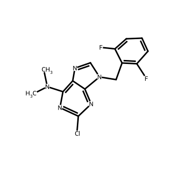 CN(C)c1nc(Cl)nc2c1ncn2Cc1c(F)cccc1F